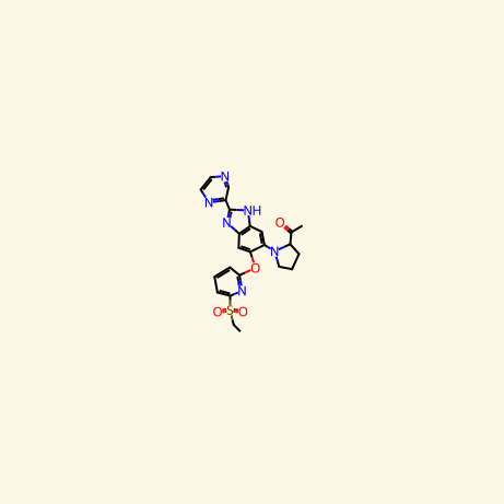 CCS(=O)(=O)c1cccc(Oc2cc3nc(-c4cnccn4)[nH]c3cc2N2CCCC2C(C)=O)n1